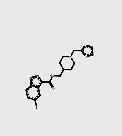 O=C(NCC1CCN(Cc2ncco2)CC1)c1n[nH]c2ccc(Br)cc12